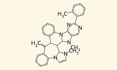 C=C1c2ccccc2N2C=CN(C)C2C2C1c1ccccc1N1c3nc(-c4ccccc4C)ncc3N(C)C21